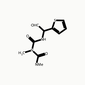 CNC(=O)N(C)C(=O)NC([C]=O)c1cccs1